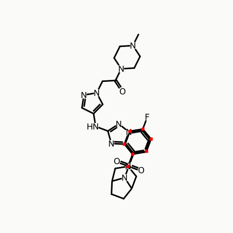 CN1CCN(C(=O)Cn2cc(Nc3nc4c(N5CC6CCC(C5)N6S(=O)(=O)c5ccc(F)cc5)cccn4n3)cn2)CC1